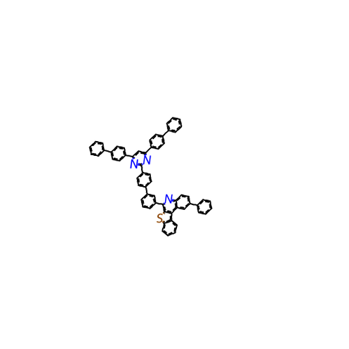 c1ccc(-c2ccc(-c3cc(-c4ccc(-c5ccccc5)cc4)nc(-c4ccc(-c5cccc(-c6nc7ccc(-c8ccccc8)cc7c7c6sc6ccccc67)c5)cc4)n3)cc2)cc1